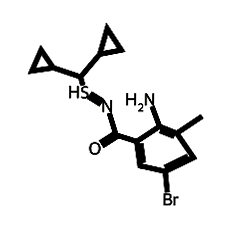 Cc1cc(Br)cc(C(=O)N=[SH]C(C2CC2)C2CC2)c1N